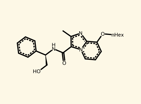 CCCCCCOc1cccn2c(C(=O)N[C@@H](CO)c3ccccc3)c(C)nc12